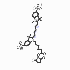 C[N+]1=C(/C=C/C=C/C=C2/N(CCCCCC(=O)ON3C(=O)CCC3=O)c3ccc(S(=O)(=O)[O-])cc3C2(C)C)C(C)(C)c2cc(S(=O)(=O)O)ccc21